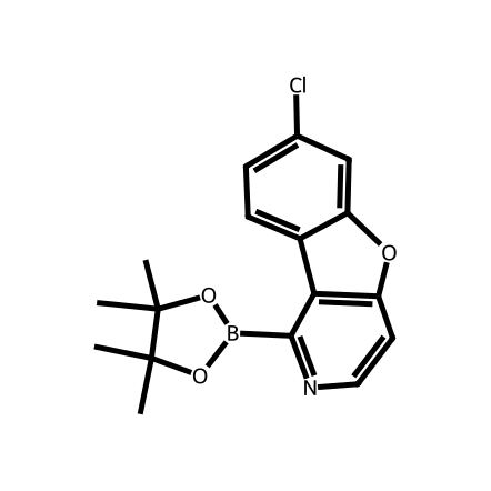 CC1(C)OB(c2nccc3oc4cc(Cl)ccc4c23)OC1(C)C